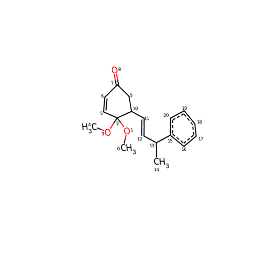 COC1(OC)C=CC(=O)CC1C=CC(C)c1ccccc1